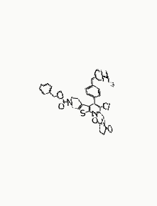 CCc1ccc(-c2c(Cl)c(CN3C(=O)CCC3=O)nc3sc4c(c23)CCN(C(=O)OCc2ccccc2)C4)cc1